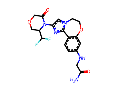 NC(=O)CNc1ccc2c(c1)OCCn1cc(N3C(=O)COCC3C(F)F)nc1-2